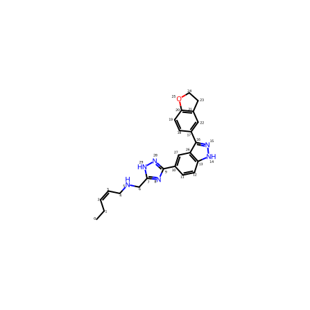 CC/C=C\CNCc1nc(-c2ccc3[nH]nc(-c4ccc5c(c4)CCO5)c3c2)n[nH]1